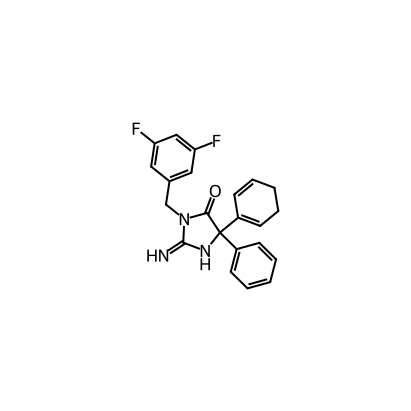 N=C1NC(C2=CCCC=C2)(c2ccccc2)C(=O)N1Cc1cc(F)cc(F)c1